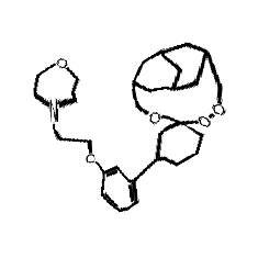 c1cc(OCCN2CCOCC2)cc(C2CCC[C@@]3(C2)OCC2CC4CC(COO3)CC(C2)C4)c1